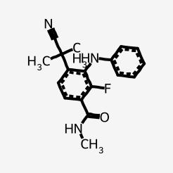 CNC(=O)c1ccc(C(C)(C)C#N)c(Nc2ccccc2)c1F